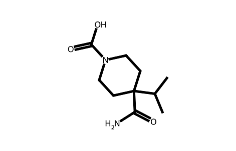 CC(C)C1(C(N)=O)CCN(C(=O)O)CC1